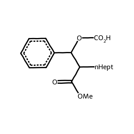 CCCCCCCC(C(=O)OC)C(OC(=O)O)c1ccccc1